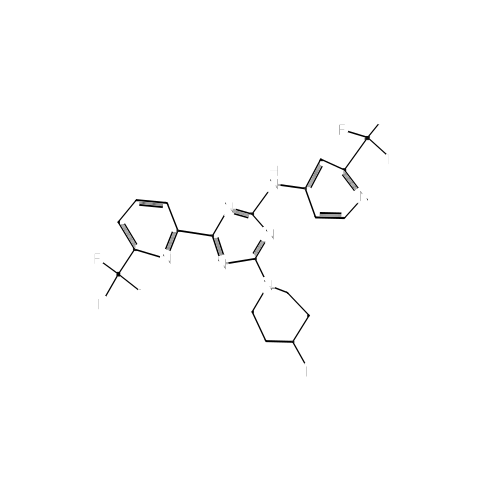 FC1CCN(c2nc(Nc3ccnc(C(F)(F)F)c3)nc(-c3cccc(C(F)(F)F)n3)n2)CC1